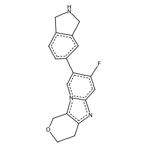 Fc1cc2nc3c(n2cc1-c1ccc2c(c1)CNC2)COCC3